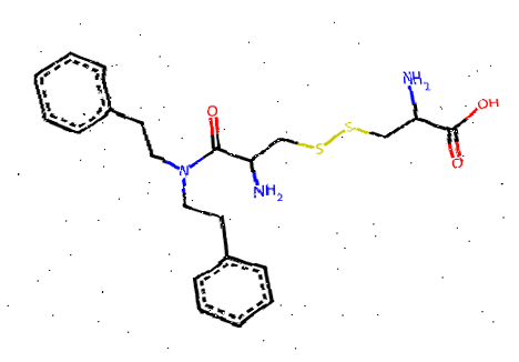 NC(CSSCC(N)C(=O)N(CCc1ccccc1)CCc1ccccc1)C(=O)O